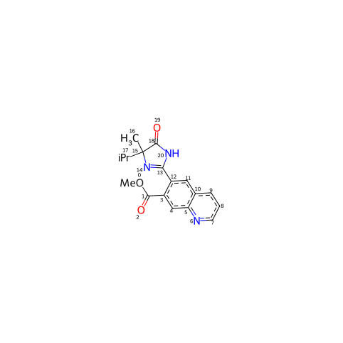 COC(=O)c1cc2ncccc2cc1C1=NC(C)(C(C)C)C(=O)N1